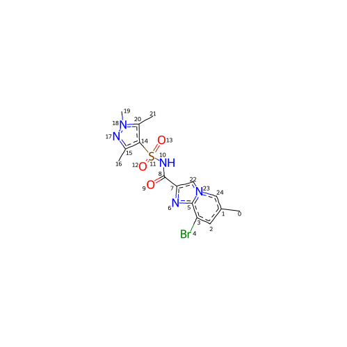 Cc1cc(Br)c2nc(C(=O)NS(=O)(=O)c3c(C)nn(C)c3C)cn2c1